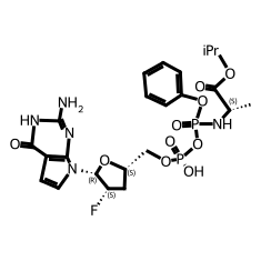 CC(C)OC(=O)[C@H](C)NP(=O)(Oc1ccccc1)OP(=O)(O)OC[C@@H]1C[C@H](F)[C@H](n2ccc3c(=O)[nH]c(N)nc32)O1